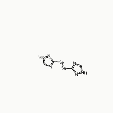 c1nc([Se][Se]c2nc[nH]n2)n[nH]1